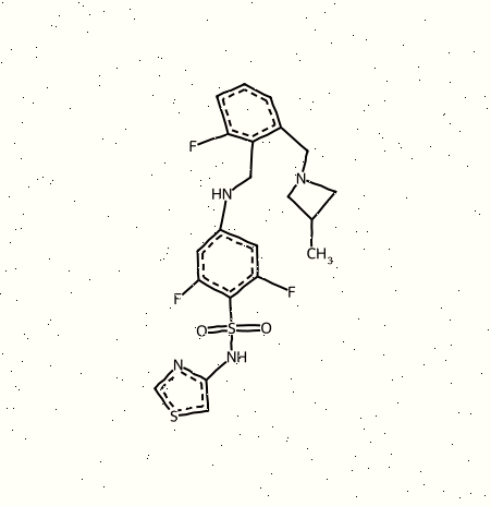 CC1CN(Cc2cccc(F)c2CNc2cc(F)c(S(=O)(=O)Nc3cscn3)c(F)c2)C1